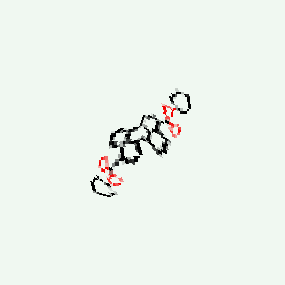 O=C(OC1CCCCC1)c1ccc2c3cccc4c(C(=O)OC5CCCCC5)ccc(c5cccc1c52)c43